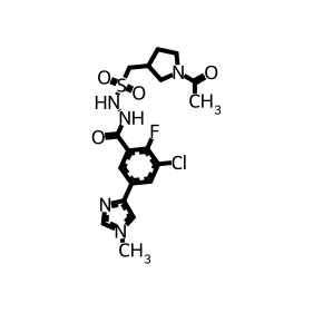 CC(=O)N1CCC(CS(=O)(=O)NNC(=O)c2cc(-c3cn(C)cn3)cc(Cl)c2F)C1